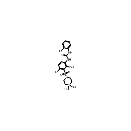 O=C(Nc1ccccc1Cl)Nc1ccc(Cl)c(S(=O)(=O)N2CCS(O)(O)CC2)c1O